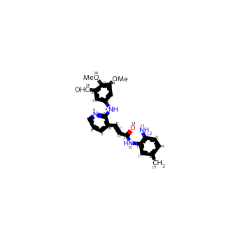 COc1cc(Nc2ncccc2/C=C/C(=O)Nc2cc(C)ccc2N)cc(C=O)c1OC